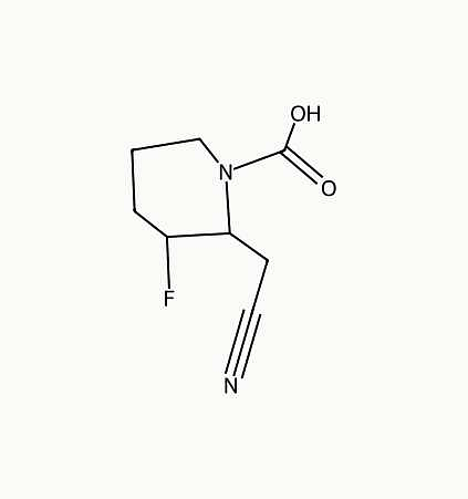 N#CCC1C(F)CCCN1C(=O)O